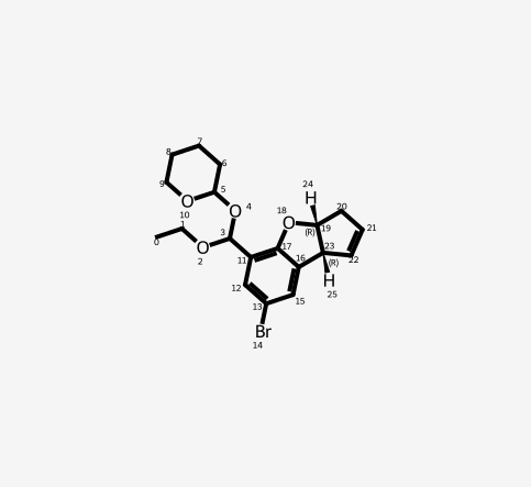 CCOC(OC1CCCCO1)c1cc(Br)cc2c1O[C@@H]1CC=C[C@H]21